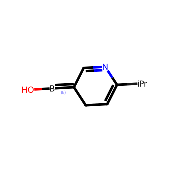 CC(C)C1=CC/C(=B\O)C=N1